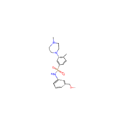 COCc1cccc(NS(=O)(=O)c2ccc(C)c(N3CCN(C)CC3)c2)c1